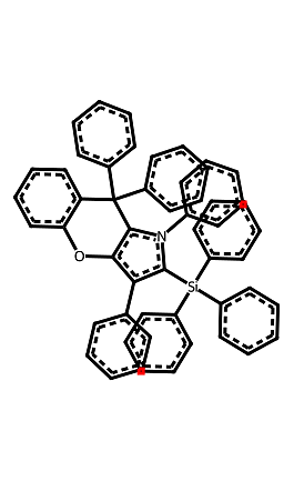 c1ccc(-c2c3c(n(-c4ccccc4)c2[Si](c2ccccc2)(c2ccccc2)c2ccccc2)C(c2ccccc2)(c2ccccc2)c2ccccc2O3)cc1